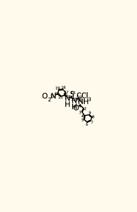 O=C(/C=C/c1ccccc1)NC(NC(=S)Nc1cccc([N+](=O)[O-])c1)C(Cl)(Cl)Cl